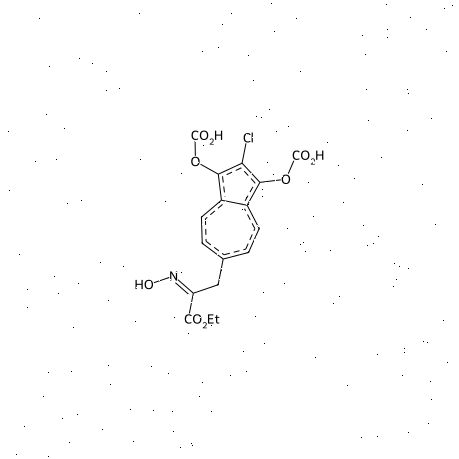 CCOC(=O)C(Cc1ccc2c(OC(=O)O)c(Cl)c(OC(=O)O)c-2cc1)=NO